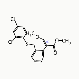 CO/C=C(/C(=O)OC)c1ccccc1CSc1ccc(Cl)cc1Cl